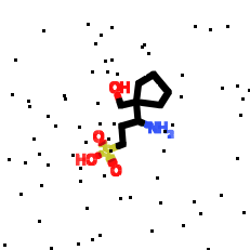 NC(CCS(=O)(=O)O)C1(CO)CCCC1